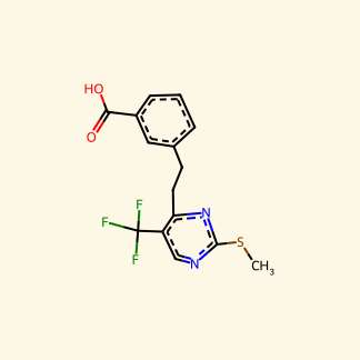 CSc1ncc(C(F)(F)F)c(CCc2cccc(C(=O)O)c2)n1